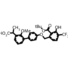 COc1c(-c2ccc(OCc3ccc(C(F)(F)F)c(O)c3C(=O)OC(C)(C)C)cc2)cccc1C(C)C(=O)O